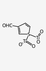 O=CC1=C[S]([Ti](=[O])=[O])([Ti](=[O])=[O])C=C1